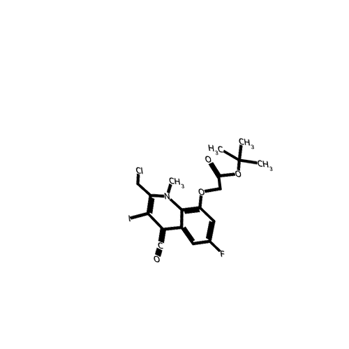 CN1C(CCl)=C(I)C(=C=O)c2cc(F)cc(OCC(=O)OC(C)(C)C)c21